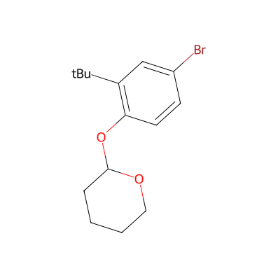 CC(C)(C)c1cc(Br)ccc1OC1CCCCO1